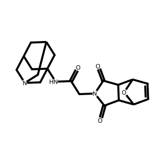 O=C(CN1C(=O)C2C3C=CC(O3)C2C1=O)NC12CC3CC(CN(C3)C1)C2